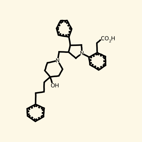 O=C(O)Cc1ccccc1N1CC(CN2CCC(O)(CCCc3ccccc3)CC2)C(c2ccccc2)C1